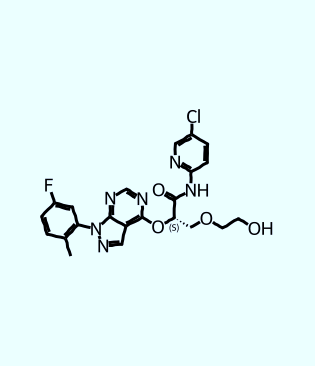 Cc1ccc(F)cc1-n1ncc2c(O[C@@H](COCCO)C(=O)Nc3ccc(Cl)cn3)ncnc21